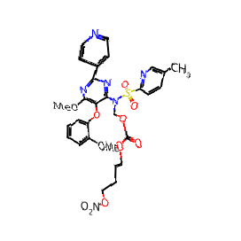 COc1ccccc1Oc1c(OC)nc(-c2ccncc2)nc1N(COC(=O)OCCCCO[N+](=O)[O-])S(=O)(=O)c1ccc(C)cn1